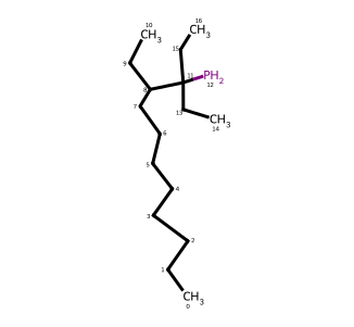 CCCCCCCCC(CC)C(P)(CC)CC